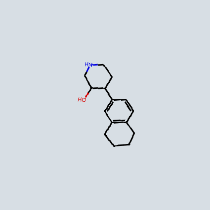 OC1CNCCC1c1ccc2c(c1)CCCC2